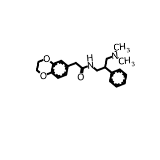 CN(C)CC(CNC(=O)Cc1ccc2c(c1)OCCO2)c1ccccc1